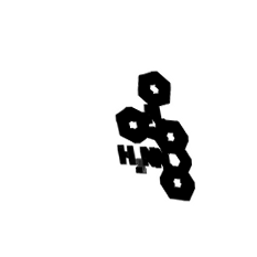 NN1c2ccccc2Cc2ccc3c(c21)c1ccccc1n3-c1ccccc1